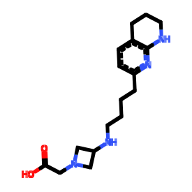 O=C(O)CN1CC(NCCCCc2ccc3c(n2)NCCC3)C1